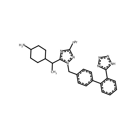 CCCc1nc(C(C)C2CCC(N)CC2)n(Cc2ccc(-c3ccccc3-c3nnn[nH]3)cc2)n1